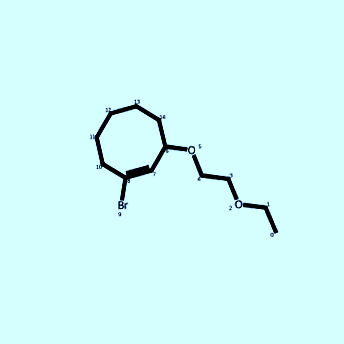 CCOCCOC1C=C(Br)CCCCC1